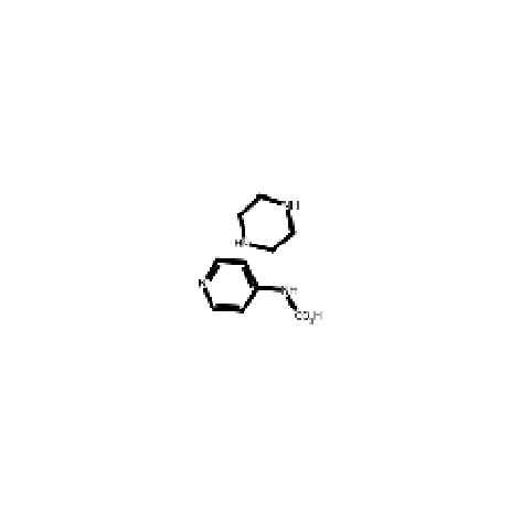 C1CNCCN1.O=C(O)Nc1ccncc1